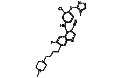 CN1CCN(CC/C=C/c2cc3ncc(C#N)c(Nc4ccc(Sc5nccn5C)c(Cl)c4)c3cc2F)CC1